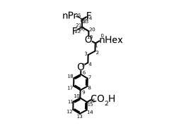 CCCCCCC(CCCOc1ccc(-c2ccccc2C(=O)O)cc1)OC[C@@H](F)[C@H](F)CCC